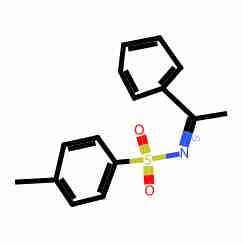 C/C(=N/S(=O)(=O)c1ccc(C)cc1)c1ccccc1